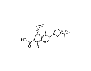 Cc1c(N2CC[C@@H](C3(C)CC3)C2)ccc2c(=O)c(C(=O)O)cn([C@@H]3C[C@@H]3F)c12